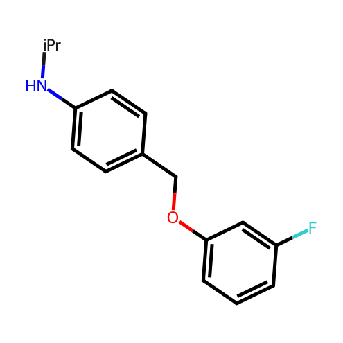 CC(C)Nc1ccc(COc2cccc(F)c2)cc1